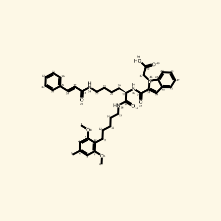 COc1cc(C)cc(OC)c1CCCCCNC(=O)[C@@H](CCCCNC(=O)C=Cc1ccccc1)NC(=O)c1cc2ccccc2n1CC(=O)O